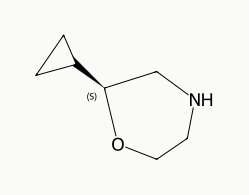 C1CO[C@@H](C2CC2)CN1